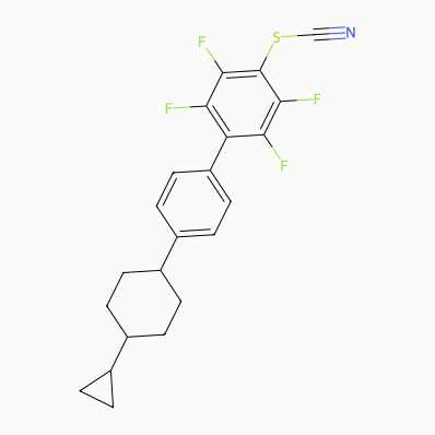 N#CSc1c(F)c(F)c(-c2ccc(C3CCC(C4CC4)CC3)cc2)c(F)c1F